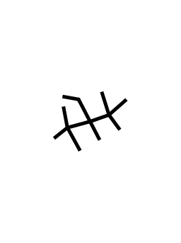 CCC(C)(C(C)(C)C)C(C)(C)C